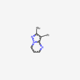 CC(C)c1c(C(C)(C)C)nn2cccnc12